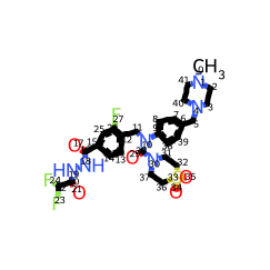 CN1CCN(Cc2ccc(N(Cc3ccc(C(=O)NNC(=O)C(F)F)cc3F)C(=O)N3CCS(=O)(=O)CC3)cc2)CC1